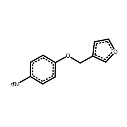 CC(C)(C)c1ccc(OCc2ccoc2)cc1